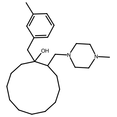 Cc1cccc(CC2(O)CCCCCCCCCCC2CN2CCN(C)CC2)c1